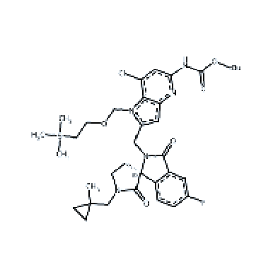 CC1(CN2CC[C@@]3(C2=O)c2ccc(F)cc2C(=O)N3Cc2cc3nc(NC(=O)OC(C)(C)C)cc(Cl)c3n2COCC[Si](C)(C)C)CC1